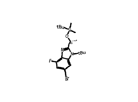 C[C@@H](O[Si](C)(C)C(C)(C)C)c1nc2c(F)cc(Br)cc2n1C(C)(C)C